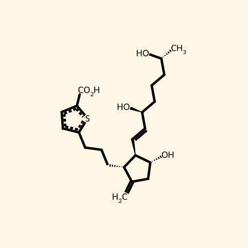 C=C1C[C@@H](O)[C@H](/C=C/[C@@H](O)CCC[C@@H](C)O)[C@H]1CCCc1ccc(C(=O)O)s1